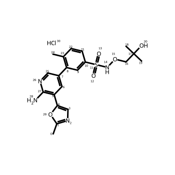 Cc1ncc(-c2cc(-c3cc(S(=O)(=O)NOCC(C)(C)O)ccc3C)cnc2N)o1.Cl